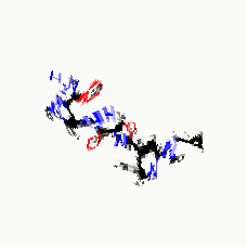 CN(CC1CC1)c1cc(-c2nc(C(=O)Nc3cn(C)nc3C(N)=O)co2)ccn1